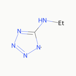 CCNC1=NN=N[N]1